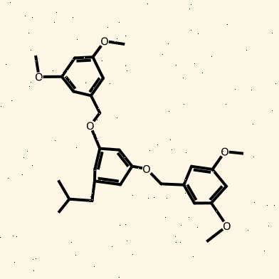 COc1cc(COc2cc(CC(C)C)cc(OCc3cc(OC)cc(OC)c3)c2)cc(OC)c1